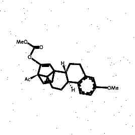 COC(=O)OC1=CC23C=C[C@@]1(C(C)=O)[C@@]2(C)CC[C@@H]1c2ccc(OC)cc2CC[C@H]13